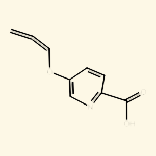 C=C=COc1ccc(C(=O)O)nc1